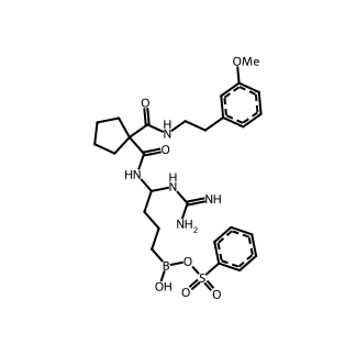 COc1cccc(CCNC(=O)C2(C(=O)NC(CCCB(O)OS(=O)(=O)c3ccccc3)NC(=N)N)CCCC2)c1